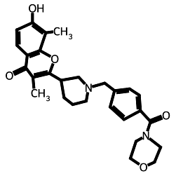 Cc1c(C2CCCN(Cc3ccc(C(=O)N4CCOCC4)cc3)C2)oc2c(C)c(O)ccc2c1=O